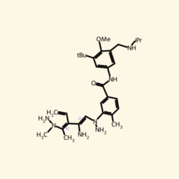 C=CC(/C(N)=C/N(N)c1cc(C(=O)Nc2cc(CNC(C)C)c(OC)c(C(C)(C)C)c2)ccc1C)=C(/C)N(C)N